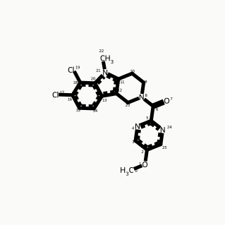 COc1cnc(C(=O)N2CCc3c(c4ccc(Cl)c(Cl)c4n3C)C2)nc1